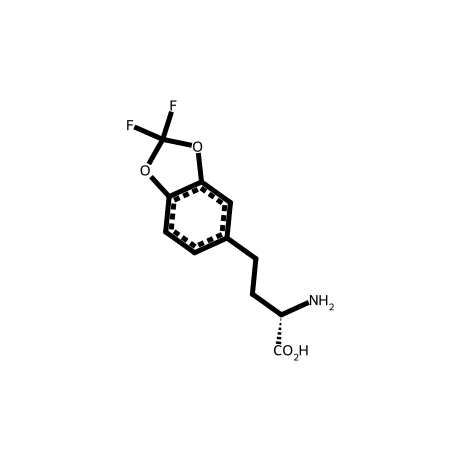 N[C@@H](CCc1ccc2c(c1)OC(F)(F)O2)C(=O)O